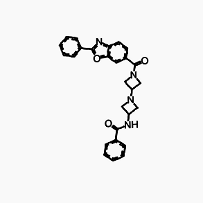 O=C(NC1CN(C2CN(C(=O)c3ccc4nc(-c5ccccc5)oc4c3)C2)C1)c1ccccc1